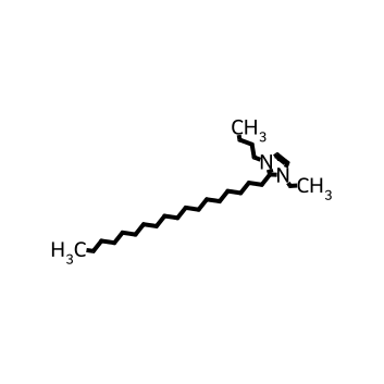 CCCCCCCCCCCCCCCCCCc1n(CC)cc[n+]1CCCC